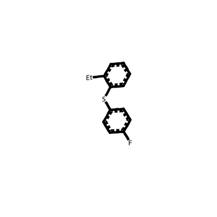 CCc1ccccc1Sc1ccc(F)cc1